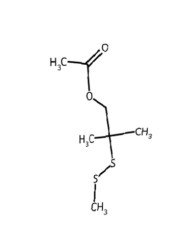 CSSC(C)(C)COC(C)=O